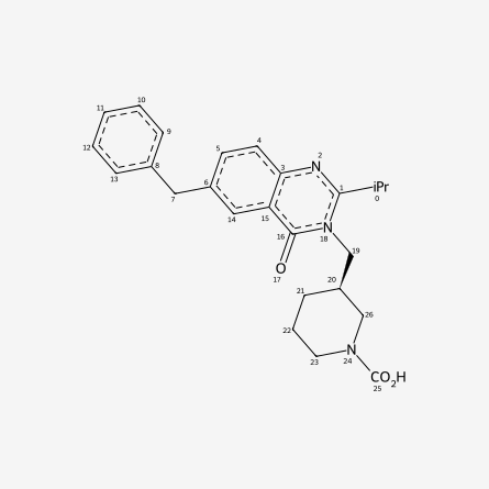 CC(C)c1nc2ccc(Cc3ccccc3)cc2c(=O)n1C[C@@H]1CCCN(C(=O)O)C1